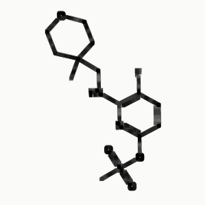 CC1(CNc2nc(OS(C)(=O)=O)ccc2F)CCOCC1